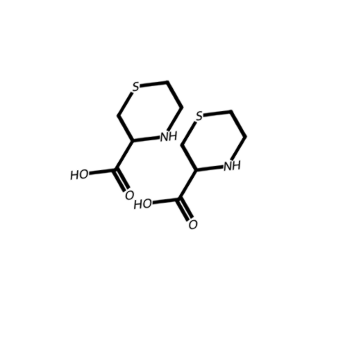 O=C(O)C1CSCCN1.O=C(O)C1CSCCN1